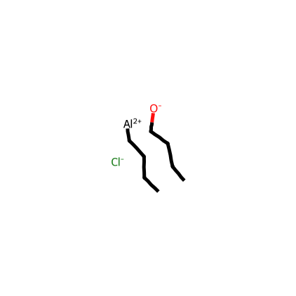 CCCC[O-].CCC[CH2][Al+2].[Cl-]